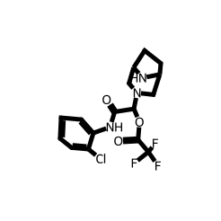 O=C(Nc1ccccc1Cl)C(OC(=O)C(F)(F)F)N1CC2CCC(C1)N2